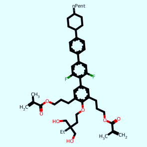 C=C(C)C(=O)OCCCc1cc(-c2c(F)cc(-c3ccc(C4CCC(CCCCC)CC4)cc3)cc2F)cc(CCCOC(=O)C(=C)C)c1OCCC(CC)(CO)CO